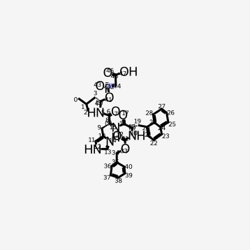 CC(C)C[C@@H](NC(=O)[C@H](Cc1c[nH]cn1)NC(=O)[C@H](Cc1cccc2ccccc12)NC(=O)OCc1ccccc1)O/[P+]([O-])=C/C(=O)O